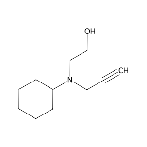 C#CCN(CCO)C1CCCCC1